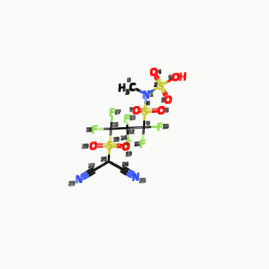 CN(S(=O)(=O)O)S(=O)(=O)C(F)(F)C(F)(F)C(F)(F)S(=O)(=O)C(C#N)C#N